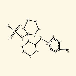 CC(C)S(=O)(=O)NC1(C2CCCCC2Oc2ccc(Br)cc2)CCCCC1